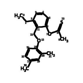 CCc1cccc(OC(C)=S)c1COc1ccc(C)cc1C